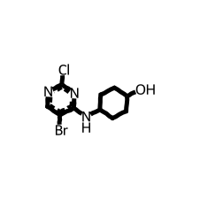 OC1CCC(Nc2nc(Cl)ncc2Br)CC1